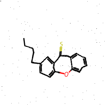 CCCCc1ccc2oc3ccccc3c(=S)c2c1